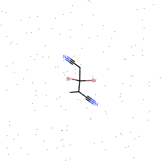 CC(C#N)C(Br)(Br)CC#N